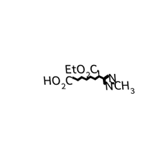 CCOC(=O)C[C@H](CCCCCCC(=O)O)c1cnc(C)nc1